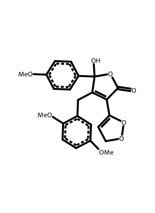 COc1ccc(C2(O)OC(=O)C(C3=CCOO3)=C2Cc2cc(OC)ccc2OC)cc1